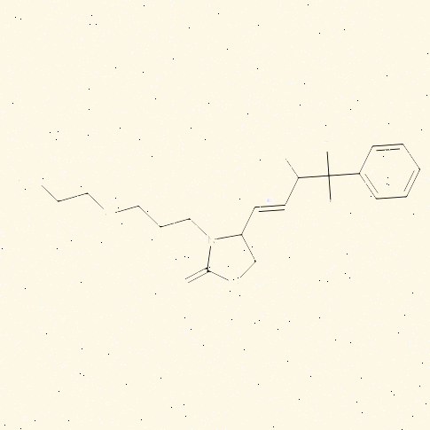 O=C(O)CCOCCCN1C(=O)OCC1/C=C/C(O)C(F)(F)c1ccccc1